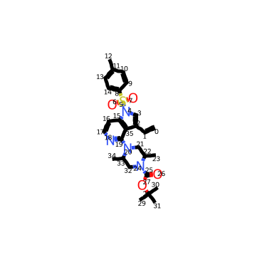 C=Cc1cn(S(=O)(=O)c2ccc(C)cc2)c2ccnc(N3CC(C)N(C(=O)OC(C)(C)C)CC3C)c12